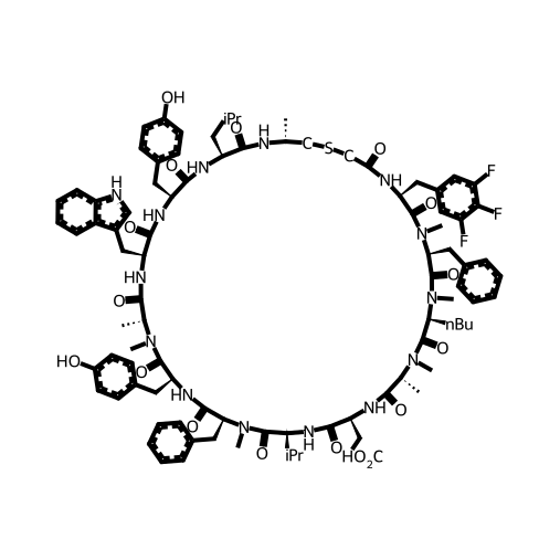 CCCC[C@H]1C(=O)N(C)[C@H](C)C(=O)N[C@@H](CC(=O)O)C(=O)N[C@@H](C(C)C)C(=O)N(C)[C@@H](Cc2ccccc2)C(=O)N[C@@H](Cc2ccc(O)cc2)C(=O)N(C)[C@H](C)C(=O)N[C@@H](Cc2c[nH]c3ccccc23)C(=O)N[C@@H](Cc2ccc(O)cc2)C(=O)N[C@@H](CC(C)C)C(=O)N[C@H](C)CSCC(=O)N[C@@H](Cc2cc(F)c(F)c(F)c2)C(=O)N(C)[C@@H](Cc2ccccc2)C(=O)N1C